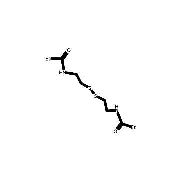 CCC(=O)NCCSSCCNC(=O)CC